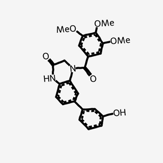 COc1cc(C(=O)N2CC(=O)Nc3ccc(-c4cccc(O)c4)cc32)cc(OC)c1OC